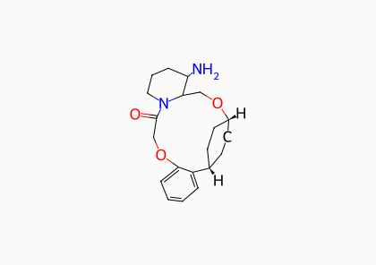 NC1CCCN2C(=O)COc3ccccc3[C@H]3CC[C@H](CC3)OCC12